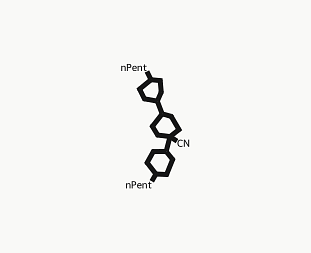 CCCCCC1CCC(C2CCC(C#N)(C3CCC(CCCCC)CC3)CC2)CC1